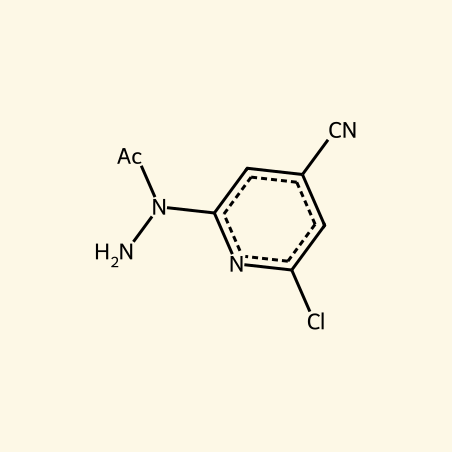 CC(=O)N(N)c1cc(C#N)cc(Cl)n1